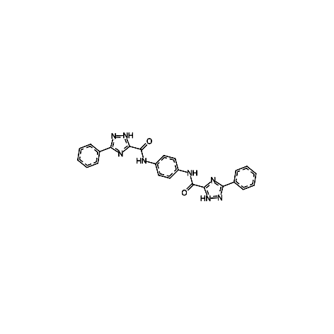 O=C(Nc1ccc(NC(=O)c2nc(-c3ccccc3)n[nH]2)cc1)c1nc(-c2ccccc2)n[nH]1